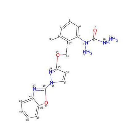 Cc1cccc(N(N)C(=O)NN)c1COc1ccn(-c2nc3ccccc3o2)n1